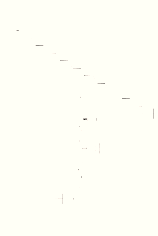 CCCCCCCCCCCCC(CCCCCCCCCC)CCCCOC(=O)CCCC(O)CCCCCCC